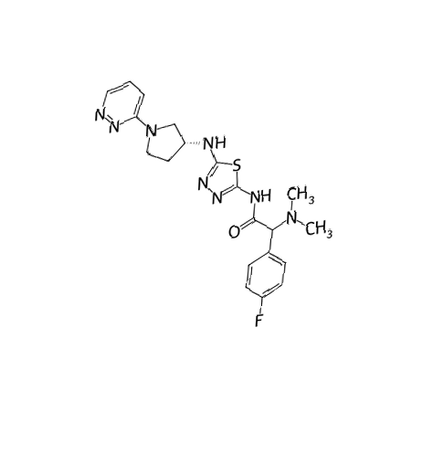 CN(C)C(C(=O)Nc1nnc(N[C@@H]2CCN(c3cccnn3)C2)s1)c1ccc(F)cc1